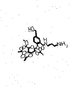 COC(=O)[C@H]1O[C@@H](Oc2ccc(CO)cc2C(=O)NCCCN)[C@H](OC(C)=O)[C@@H](OC(C)=O)[C@@H]1OC(C)=O